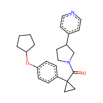 O=C(N1CCC(c2ccncc2)C1)C1(c2ccc(OC3CCCC3)cc2)CC1